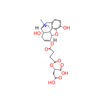 CN1CC[C@]23c4c5ccc(O)c4O[C@H]2C(OC(=O)CCC(=O)O[C@H](CC(=O)O)C(=O)O)=CC[C@@]3(O)[C@H]1C5